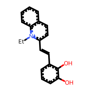 CC[n+]1c(/C=C/c2cccc(O)c2O)ccc2ccccc21